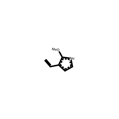 C=Cc1cc[nH]c1OC